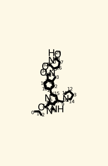 CC(C)Oc1n[nH]c2c(CN3CCCC3)cc(-c3ccc4c(c3)CN(C3CCC(=O)NC3=O)C4=O)nc12